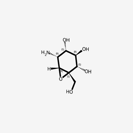 N[C@@H]1[C@H](O)[C@@H](O)[C@H](O)[C@]2(CO)O[C@H]12